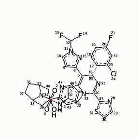 O=S(=O)(N[C@H]1CC2=C(c3ccn(C(F)F)n3)[C@H](c3ccc(F)cc3Cl)N=C(c3nccs3)N2C1)N1C2CCC1CC(O)(c1ccccn1)C2